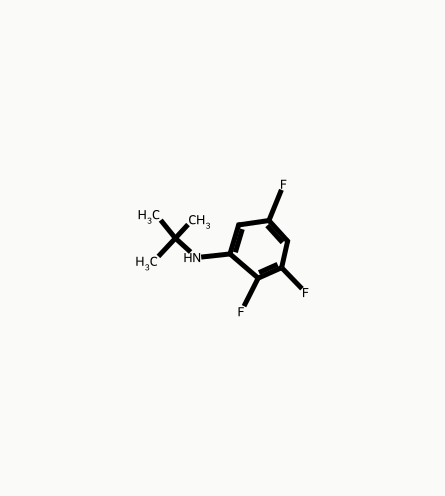 CC(C)(C)Nc1cc(F)cc(F)c1F